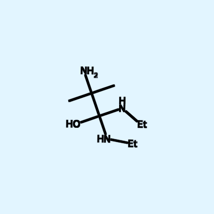 CCNC(O)(NCC)C(C)(C)N